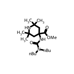 CCCCN(CCCC)C(=O)NC1(C(=O)OC)CC(C)(C)NC(C)(C)C1